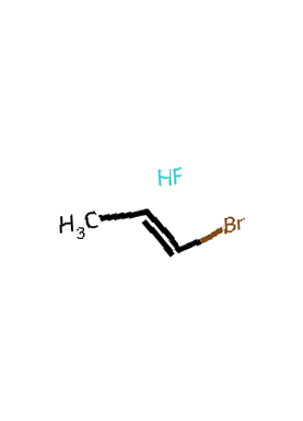 CC=CBr.F